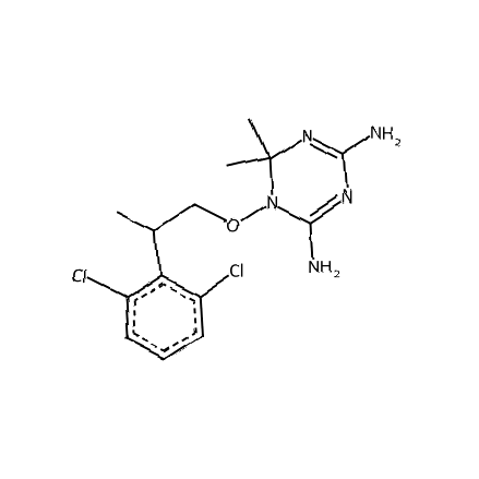 CC(CON1C(N)=NC(N)=NC1(C)C)c1c(Cl)cccc1Cl